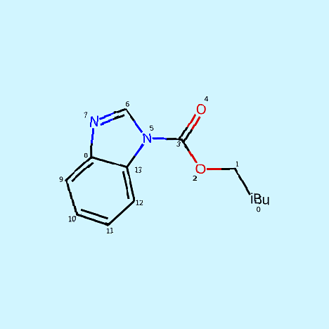 CCC(C)COC(=O)n1cnc2ccccc21